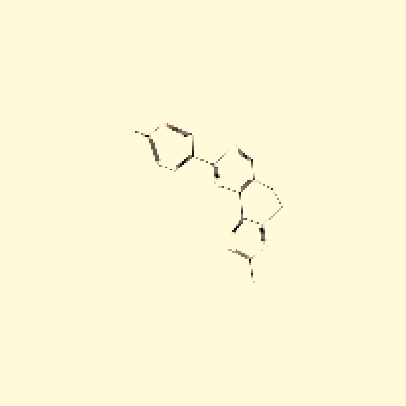 Cc1ncc2c(n1)CCc1cnc(-c3ccc(Cl)cc3)nc1-2